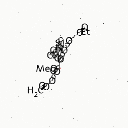 C=CC(=O)OCCCOc1ccc(C(=O)Oc2ccc(/C=C/C(=O)Oc3ccc(OCc4ccc(OCCCCCCOCC5(CC)COC5)cc4)c(/C=N/N(CCOC(=O)C=C)c4nc5ccccc5s4)c3)cc2OC)cc1